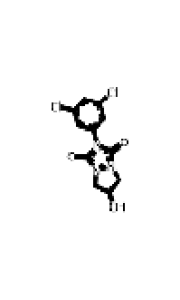 O=c1n(-c2cc(Cl)cc(Cl)c2)c(=O)n2n1CC(O)C2